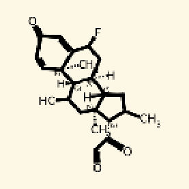 CC1C[C@H]2[C@@H]3CC(F)C4=CC(=O)C=C[C@]4(C)[C@H]3C(O)C[C@]2(C)[C@H]1C(=O)C=O